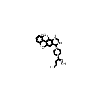 OCC/C(=N\O)N1CCN(C2NCNc3c2cc(Cl)c(-c2c(O)cccc2F)c3F)CC1